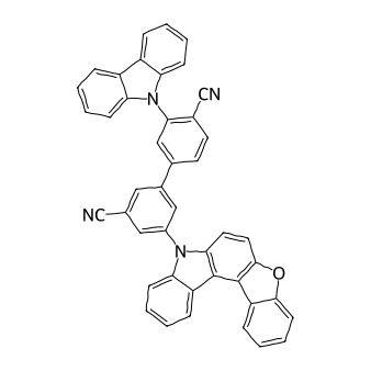 N#Cc1cc(-c2ccc(C#N)c(-n3c4ccccc4c4ccccc43)c2)cc(-n2c3ccccc3c3c4c(ccc32)oc2ccccc24)c1